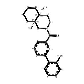 O=C(c1cccc(-c2ccccc2Cl)n1)N1CC[C@@H]2CCCC[C@@H]2C1